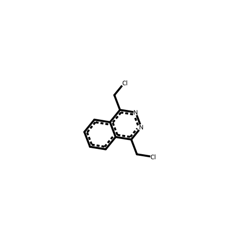 ClCc1nnc(CCl)c2ccccc12